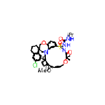 CO[C@H]1C=CCOC(C)(C)C(=O)N=[S@](=O)(NC(=O)NC(C)C)c2ccc3c(c2)N(C[C@@H]2CC[C@H]21)C[C@@]1(CCCc2cc(Cl)ccc21)CO3